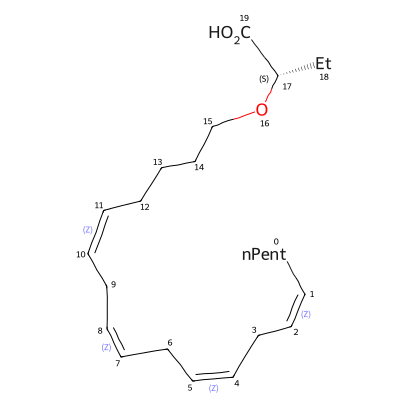 CCCCC/C=C\C/C=C\C/C=C\C/C=C\CCCCO[C@@H](CC)C(=O)O